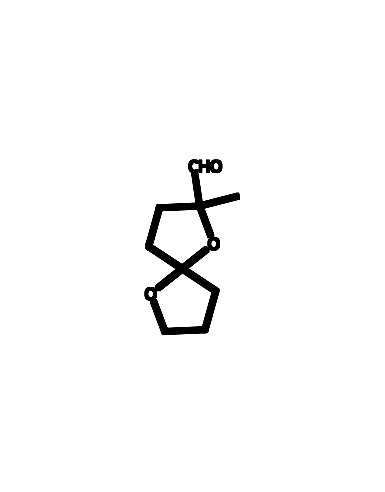 CC1(C=O)CCC2(CCCO2)O1